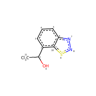 OC(c1cccc2nnsc12)C(Cl)(Cl)Cl